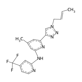 C/C=C/Cn1cc(-c2cc(C)cc(Nc3cc(C(F)(F)F)ccn3)n2)nn1